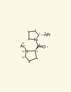 CCC[C@H]1CCCN1C(=O)[C@H]1CCCN1C(C)=O